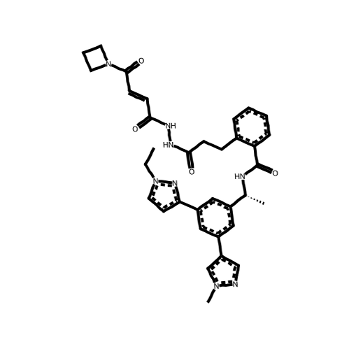 CCn1ccc(-c2cc(-c3cnn(C)c3)cc([C@@H](C)NC(=O)c3ccccc3CCC(=O)NNC(=O)/C=C/C(=O)N3CCC3)c2)n1